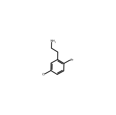 CC(C)c1ccc(Cl)cc1CCN